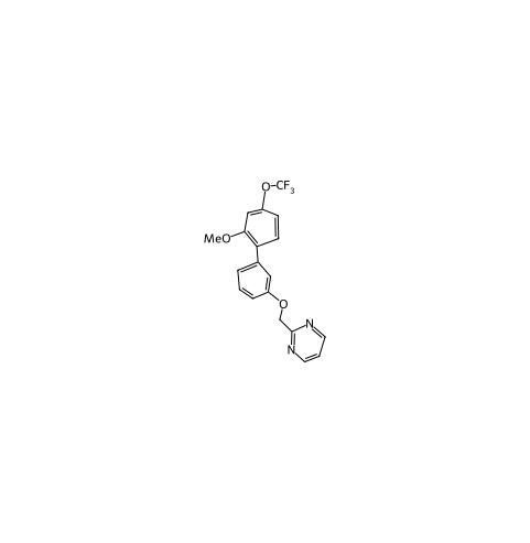 COc1cc(OC(F)(F)F)ccc1-c1cccc(OCc2ncccn2)c1